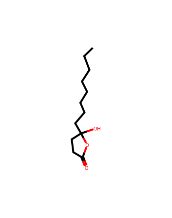 CCCCCCCCC1(O)CCC(=O)O1